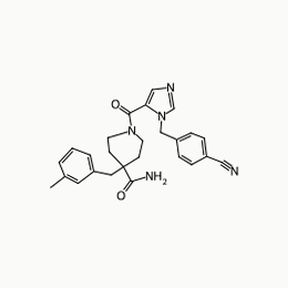 Cc1cccc(CC2(C(N)=O)CCN(C(=O)c3cncn3Cc3ccc(C#N)cc3)CC2)c1